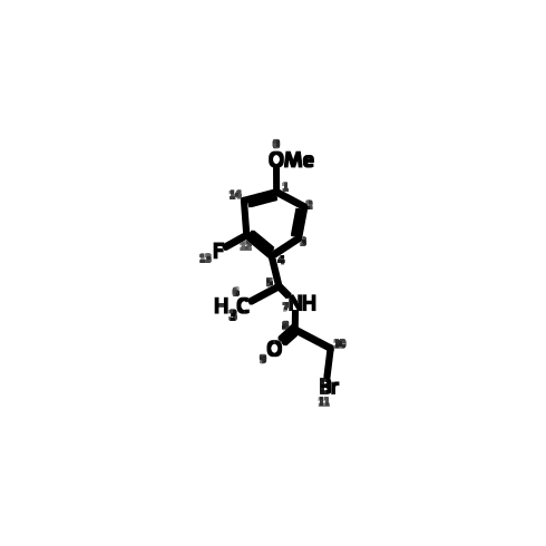 COc1ccc(C(C)NC(=O)CBr)c(F)c1